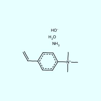 C=Cc1ccc([N+](C)(C)C)cc1.N.O.[OH-]